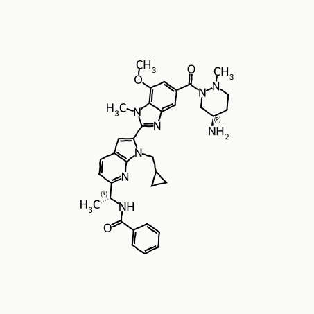 COc1cc(C(=O)N2C[C@H](N)CCN2C)cc2nc(-c3cc4ccc([C@@H](C)NC(=O)c5ccccc5)nc4n3CC3CC3)n(C)c12